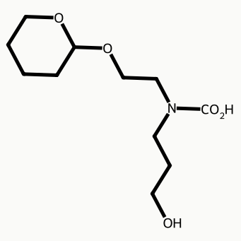 O=C(O)N(CCCO)CCOC1CCCCO1